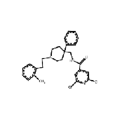 Cc1ccccc1CCN1CCC(CNC(=O)c2cc(Cl)nc(Cl)c2)(c2ccccc2)CC1